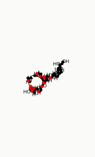 C=C1C[C@@H]2CC[C@]34CC(O)C(O3)[C@@H]3O[C@H]5CC[C@H](CC(=O)O[C@@H]6C[C@@H]7O[C@@H]8C[C@]9(C[C@@H]%10O[C@@]%11(CC[C@@H]%10O9)C[C@H](C)[C@@H]9O[C@H]([C@@H](O)CCO)C[C@@H]9O%11)O[C@@H]8C[C@@H]7O[C@H]6C[C@H]6O[C@@H](CC[C@@H]1O2)C[C@@H](C)C6=C)O[C@@H]5[C@H](O4)[C@@H]3I